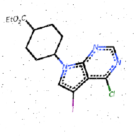 CCOC(=O)C1CCC(n2cc(I)c3c(Cl)ncnc32)CC1